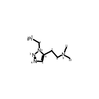 CC(C)Cn1nncc1CCN(C)C